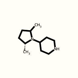 CC1CC[C@@H](C)N1C1CCNCC1